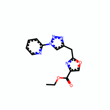 CCOC(=O)c1coc(Cc2cn(-c3ccccn3)nn2)n1